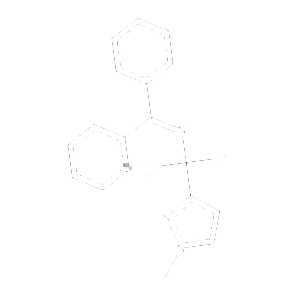 CCC(N=C(c1ccccc1)c1ccccc1)(C(=O)O)c1ccn(C)n1